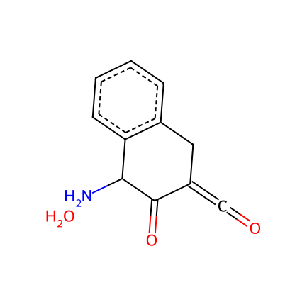 NC1C(=O)C(=C=O)Cc2ccccc21.O